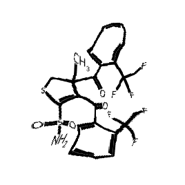 CC1(C(=O)c2ccccc2C(F)(F)F)CSC(S(N)(=O)=O)=C1C(=O)c1ccccc1C(F)(F)F